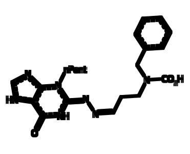 CCCCCn1/c(=N/N=C\CCN(Cc2ccccc2)C(=O)O)[nH]c(=O)c2[nH]cnc21